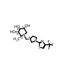 C[C@@H]1[C@@H](O)[C@H](O)[C@@H](O)CN1C[C@H]1CCN(c2nc(C(F)(F)F)cs2)C1